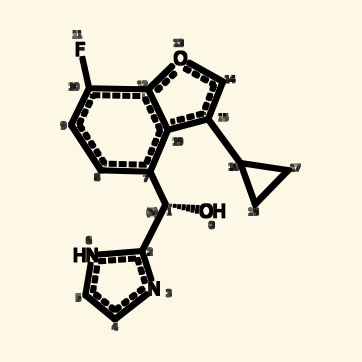 O[C@H](c1ncc[nH]1)c1ccc(F)c2occ(C3CC3)c12